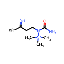 CCCC(=N)CCN(C(N)=O)[N+](C)(C)C